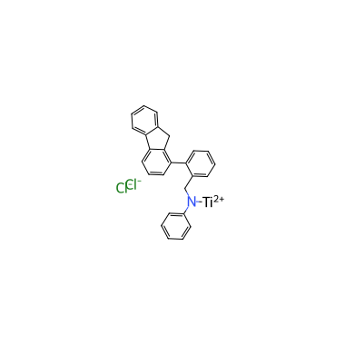 [Cl-].[Cl-].[Ti+2][N](Cc1ccccc1-c1cccc2c1Cc1ccccc1-2)c1ccccc1